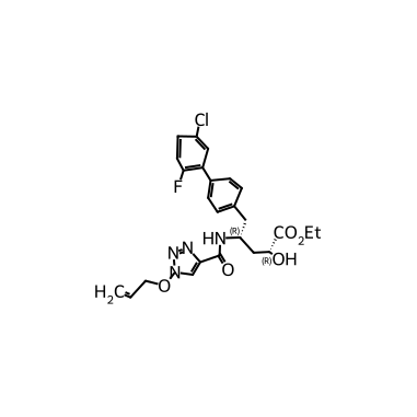 C=CCOn1cc(C(=O)N[C@H](Cc2ccc(-c3cc(Cl)ccc3F)cc2)C[C@@H](O)C(=O)OCC)nn1